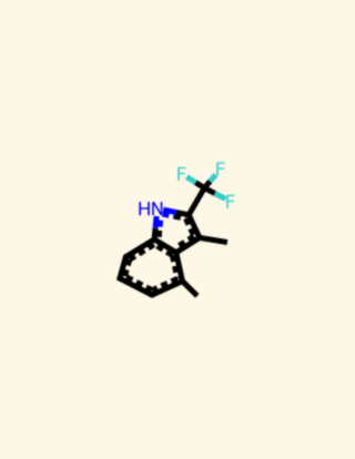 Cc1cccc2[nH]c(C(F)(F)F)c(C)c12